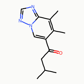 Cc1c(C(=O)CC(C)C)cn2ncnc2c1C